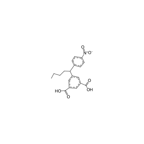 CCCCC(c1ccc([N+](=O)[O-])cc1)c1cc(C(=O)O)cc(C(=O)O)c1